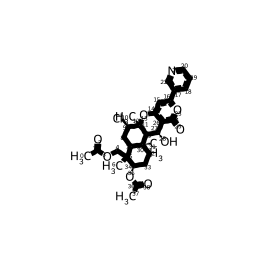 CC(=O)OCC1(C)C2C[C@@H](Cl)[C@@]3(C)Oc4cc(-c5cccnc5)oc(=O)c4[C@H](O)C3[C@@]2(C)CC[C@@H]1OC(C)=O